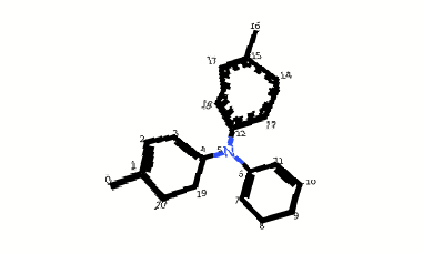 CC1=CC=C(N(C2=CCCC=C2)c2ccc(C)cc2)CC1